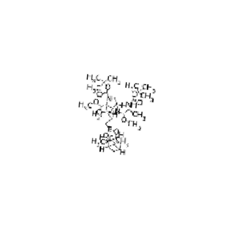 COC(=O)[C@]12C(C)=CN(C(OC)[C@H](C)NC(=O)OC(C)(C)C)[C@@H](CN1C(=O)OC(C)(C)C)[C@H]2CCCB1O[C@@H]2C[C@@H]3C[C@@H](C3(C)C)[C@]2(C)O1